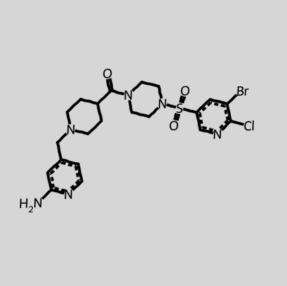 Nc1cc(CN2CCC(C(=O)N3CCN(S(=O)(=O)c4cnc(Cl)c(Br)c4)CC3)CC2)ccn1